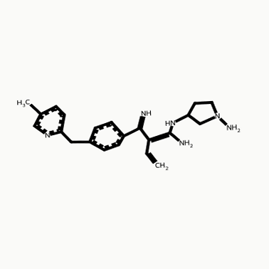 C=C/C(C(=N)c1ccc(Cc2ccc(C)cn2)cc1)=C(\N)NC1CCN(N)C1